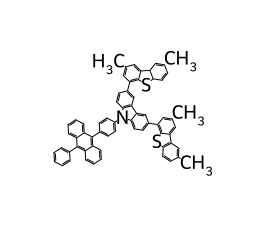 CC1=CC2c3cc(C)cc(-c4ccc5c(c4)c4cc(-c6cc(C)cc7c6sc6ccc(C)cc67)ccc4n5-c4ccc(-c5c6ccccc6c(-c6ccccc6)c6ccccc56)cc4)c3SC2C=C1